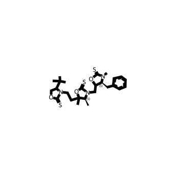 C[C@@H]1N(CC2OC(=S)N(C)[C@H]2Cc2ccccc2)C(=S)OC1(C)CCN1C(=S)OCC1C(C)(C)C